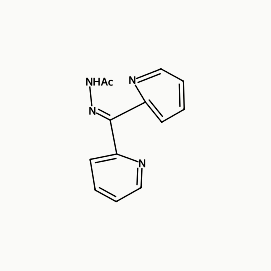 CC(=O)NN=C(c1ccccn1)c1ccccn1